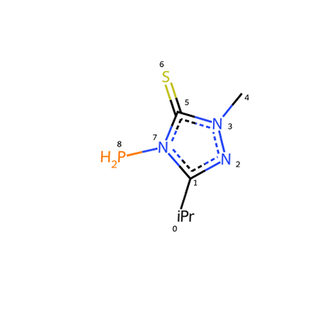 CC(C)c1nn(C)c(=S)n1P